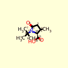 CC1CC(=O)N(C(C)(C)C)[C@@H]1C(=O)O